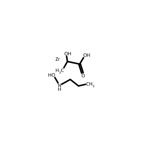 CC(O)C(=O)O.CCCNO.[Zr]